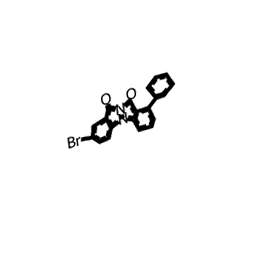 O=c1c2cc(Br)ccc2n2c3cccc(-c4ccccc4)c3c(=O)n12